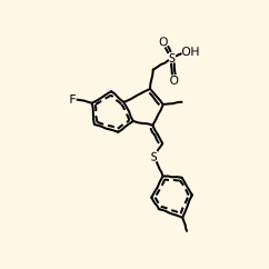 CC1=C(CS(=O)(=O)O)c2cc(F)ccc2C1=CSc1ccc(C)cc1